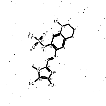 CCN1CCCc2cc(N=Nc3nc(C#N)c(C#N)n3C)c(NS(=O)(=O)C(F)(F)F)cc21